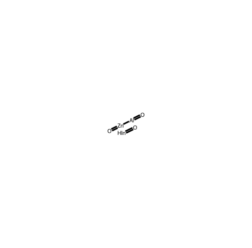 [O]=[Al][Zn]=[O].[O]=[InH]